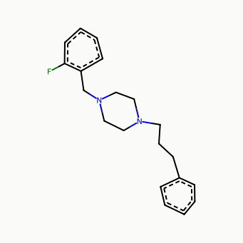 Fc1ccccc1CN1CCN(CCCc2ccccc2)CC1